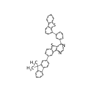 CC1(C)c2ccccc2-c2ccc(-c3ccc4sc5c(-c6cccc(-c7cccc8c7sc7ccccc78)c6)ncnc5c4c3)cc21